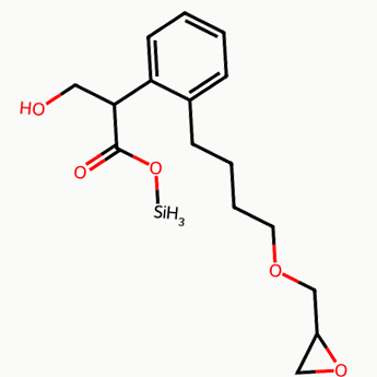 O=C(O[SiH3])C(CO)c1ccccc1CCCCOCC1CO1